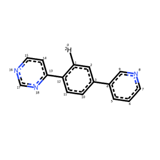 [2H]c1cc(-c2cccnc2)ccc1-c1ccncn1